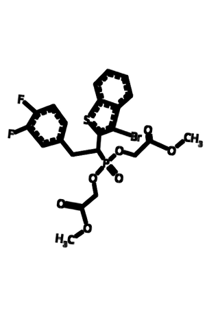 COC(=O)COP(=O)(OCC(=O)OC)C(Cc1ccc(F)c(F)c1)c1sc2ccccc2c1Br